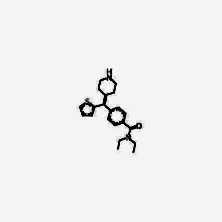 CCN(CC)C(=O)c1ccc(C(=C2CCNCC2)c2cccs2)cc1